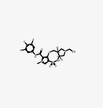 Cn1cc2c(c1C(=O)Nc1cc(F)c(F)c(F)c1)OC[C@@H]1CN(CC#N)C[C@@H]1NS2(=O)=O